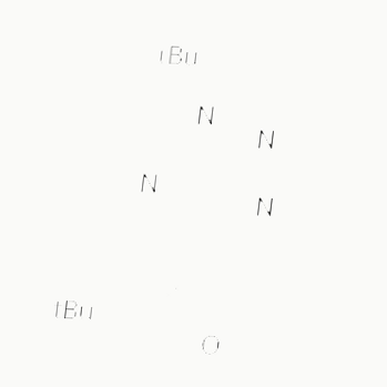 CC(C)(C)C(=O)c1nnn(C(C)(C)C)n1